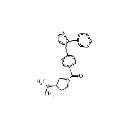 CN(C)C1CCN(C(=O)c2ccc(-n3ccnc3-c3ccccc3)cc2)C1